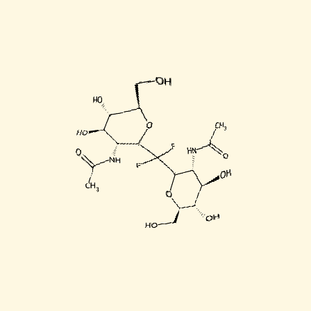 CC(=O)N[C@H]1[C](C(F)(F)[C]2O[C@H](CO)[C@@H](O)[C@H](O)[C@H]2NC(C)=O)O[C@H](CO)[C@@H](O)[C@@H]1O